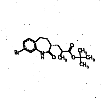 CC(C[C@H]1CCc2ccc(Br)cc2NC1=O)C(=O)OC(C)(C)C